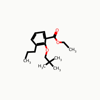 CCCc1cccc(C(=O)OCC)c1OCC(C)(C)C